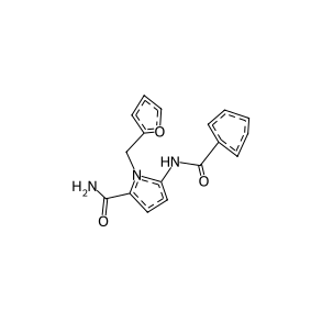 NC(=O)c1ccc(NC(=O)c2ccccc2)n1Cc1ccco1